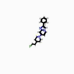 FCCC1CCN(c2ccn3cc(-c4ccccc4)nc3c2)CC1